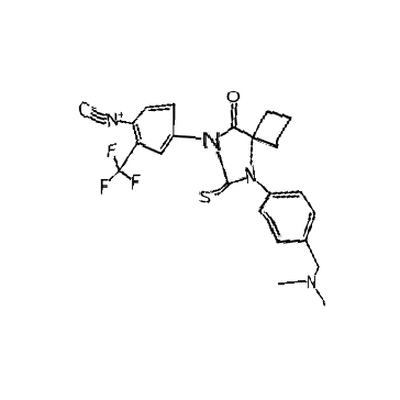 [C-]#[N+]c1ccc(N2C(=O)C3(CCC3)N(c3ccc(CN(C)C)cc3)C2=S)cc1C(F)(F)F